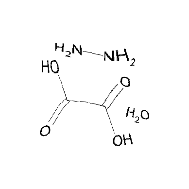 NN.O.O=C(O)C(=O)O